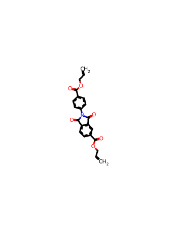 C=CCOC(=O)c1ccc(N2C(=O)c3ccc(C(=O)OCC=C)cc3C2=O)cc1